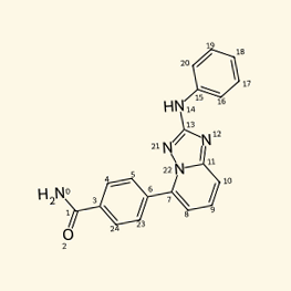 NC(=O)c1ccc(-c2cccc3nc(Nc4ccccc4)nn23)cc1